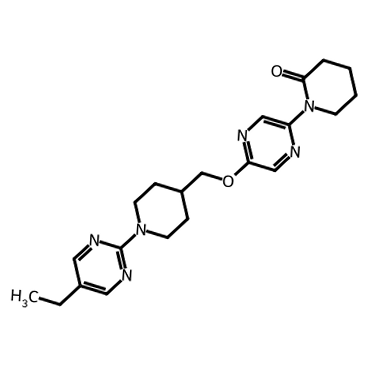 CCc1cnc(N2CCC(COc3cnc(N4CCCCC4=O)cn3)CC2)nc1